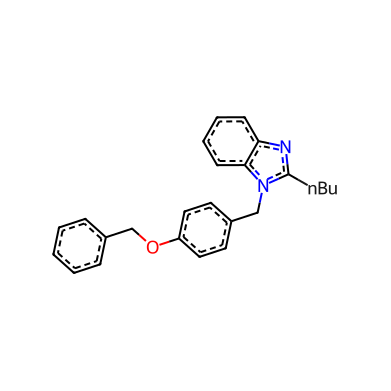 CCCCc1nc2ccccc2n1Cc1ccc(OCc2ccccc2)cc1